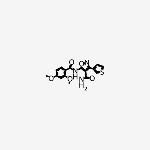 COc1ccc(C(=O)Nc2onc(-c3ccsc3)c2C(N)=O)c(OC)c1